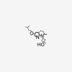 C=C1CCc2cc(OCCC(C)C)cnc2N1C1CC(C)(O)C1